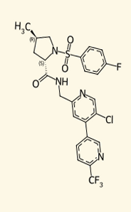 C[C@@H]1C[C@@H](C(=O)NCc2cc(-c3ccc(C(F)(F)F)nc3)c(Cl)cn2)N(S(=O)(=O)c2ccc(F)cc2)C1